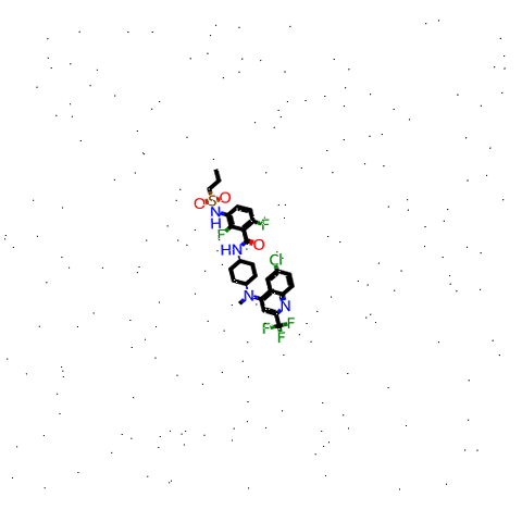 CCCS(=O)(=O)Nc1ccc(F)c(C(=O)N[C@H]2CC[C@@H](N(C)c3cc(C(F)(F)F)nc4ccc(Cl)cc34)CC2)c1F